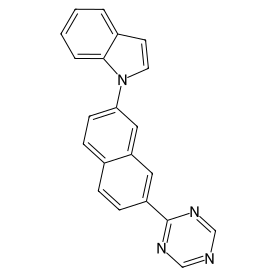 c1ccc2c(c1)ccn2-c1ccc2ccc(-c3ncncn3)cc2c1